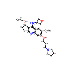 COc1cc2c(NC3COC3)c3c(nc2cc1OCCCN1CCCC1)CCC3OC=O